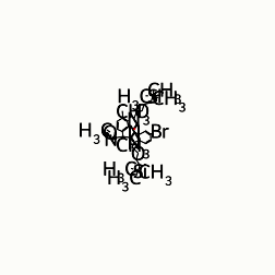 COc1cc(C)c2c(ccn2COCC[Si](C)(C)C)c1C(C)(C#N)c1nc2cc(Br)ccc2n1COCC[Si](C)(C)C